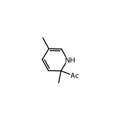 CC(=O)C1(C)C=CC(C)=CN1